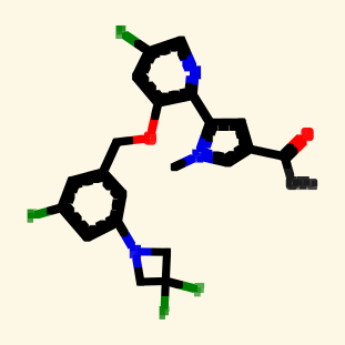 COC(=O)c1cc(-c2ncc(F)cc2OCc2cc(F)cc(N3CC(F)(F)C3)c2)n(C)c1